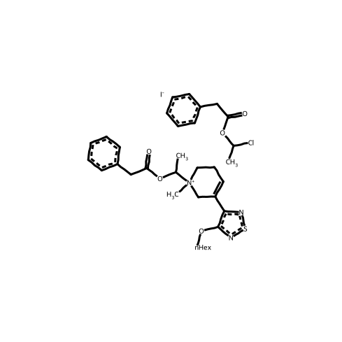 CC(Cl)OC(=O)Cc1ccccc1.CCCCCCOc1nsnc1C1=CCC[N+](C)(C(C)OC(=O)Cc2ccccc2)C1.[I-]